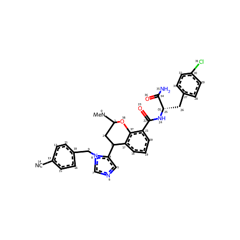 CNC1CC(c2cncn2Cc2ccc(C#N)cc2)c2cccc(C(=O)N[C@@H](Cc3ccc(Cl)cc3)C(N)=O)c2O1